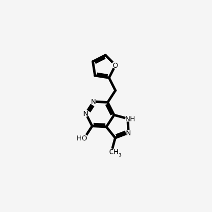 Cc1n[nH]c2c(Cc3ccco3)nnc(O)c12